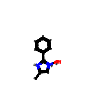 Cc1cn(O)c(-c2ccccc2)n1